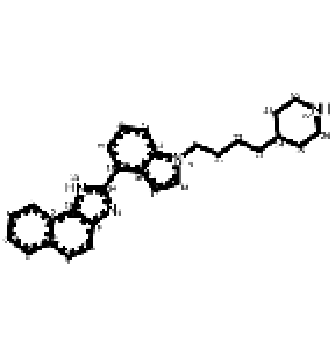 c1ccc2c(c1)ccc1nc(-c3cccc4c3ccn4CCCCC3CCNCC3)[nH]c12